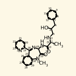 C[C@H](NCC(O)Cc1ccccc1)C(=O)NC1N=C(c2ccccn2)c2ccccc2N(C)C1=O